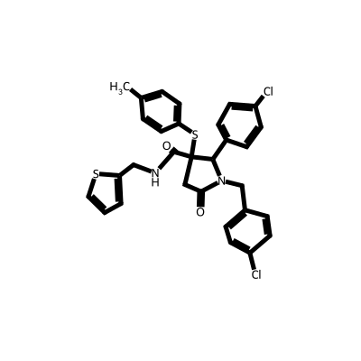 Cc1ccc(SC2(C(=O)NCc3cccs3)CC(=O)N(Cc3ccc(Cl)cc3)C2c2ccc(Cl)cc2)cc1